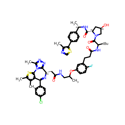 Cc1ncsc1-c1ccc([C@H](C)NC(=O)[C@@H]2C[C@@H](O)CN2C(=O)C(NC(=O)CCc2cc(OC(C)CNC(=O)C[C@@H]3N=C(c4ccc(Cl)cc4)c4c(sc(C)c4C)-n4c(C)nnc43)ccc2F)C(C)(C)C)cc1